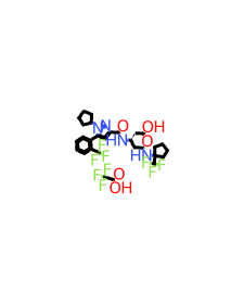 O=C(O)C(F)(F)F.O=C(O)C[C@H](CCNC1(C(F)(F)F)CCCC1)NC(=O)c1cc(-c2ccccc2C(F)(F)F)n(C2CCCC2)n1